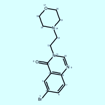 O=c1c2cc(Br)ccc2ncn1CCN1CCOCC1